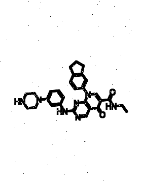 CCNC(=O)c1cn(-c2ccc3c(c2)CCC3)c2nc(Nc3cccc(N4CCNCC4)c3)ncc2c1=O